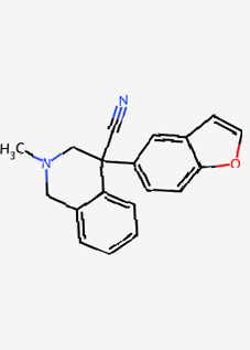 CN1Cc2ccccc2C(C#N)(c2ccc3occc3c2)C1